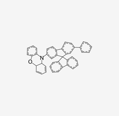 C1=CC2Oc3ccccc3N(c3ccc4c(c3)C3(c5ccccc5-c5ccccc53)c3cc(-c5ccccc5)ccc3-4)C2C=C1